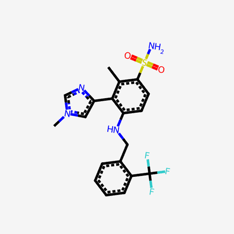 Cc1c(S(N)(=O)=O)ccc(NCc2ccccc2C(F)(F)F)c1-c1cn(C)cn1